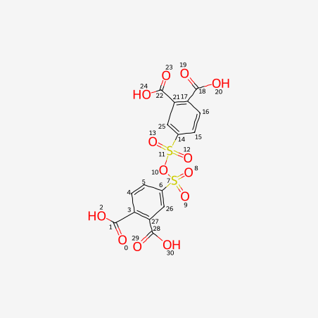 O=C(O)c1ccc(S(=O)(=O)OS(=O)(=O)c2ccc(C(=O)O)c(C(=O)O)c2)cc1C(=O)O